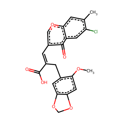 COc1cc2c(cc1CC(=Cc1coc3cc(C)c(Cl)cc3c1=O)C(=O)O)OCO2